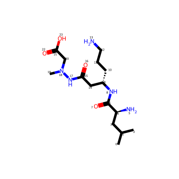 CC(C)C[C@H](N)C(=O)N[C@@H](CCCN)CC(=O)NN(C)CC(=O)O